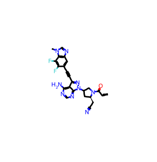 C=CC(=O)N1CC(n2nc(C#Cc3cc4ncn(C)c4c(F)c3F)c3c(N)ncnc32)C[C@@H]1CC#N